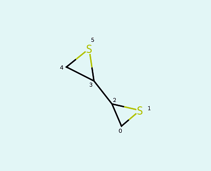 C1SC1C1CS1